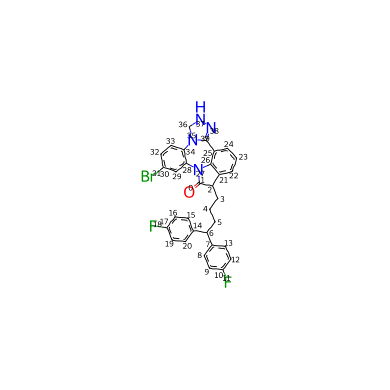 O=C1C(CCCC(c2ccc(F)cc2)c2ccc(F)cc2)c2cccc3c2N1c1cc(Br)ccc1N1CNN=C31